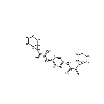 C=C(C(=O)Oc1ccc(OC(=O)C(=C)C2C3CCCCC32)cc1)C1C2CCCCC21